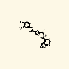 C[C@H](NC(=O)c1ncnc2[nH]ncc12)c1ncc(C(=O)Nc2ccc(Cl)c(C(F)(F)F)c2)s1